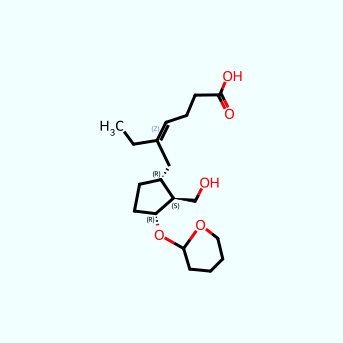 CC/C(=C/CCC(=O)O)C[C@H]1CC[C@@H](OC2CCCCO2)[C@@H]1CO